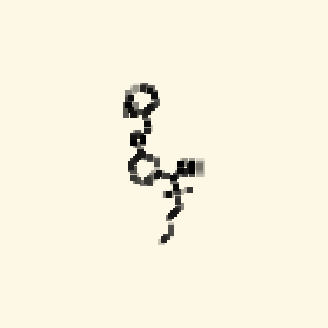 CCCCC(C)(C)C(O)c1cccc(OCc2ccccn2)c1